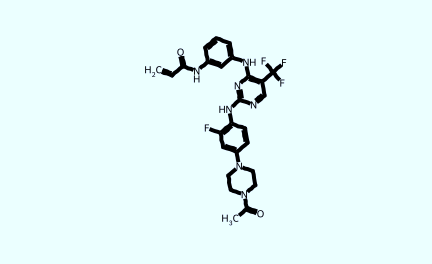 C=CC(=O)Nc1cccc(Nc2nc(Nc3ccc(N4CCN(C(C)=O)CC4)cc3F)ncc2C(F)(F)F)c1